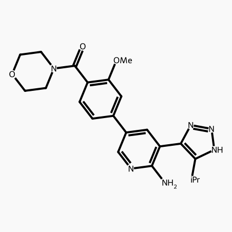 COc1cc(-c2cnc(N)c(-c3nn[nH]c3C(C)C)c2)ccc1C(=O)N1CCOCC1